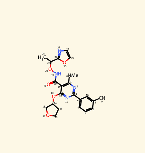 CNc1nc(-c2cccc(C#N)c2)nc(O[C@H]2CCOC2)c1C(=O)NOC(C)c1ncco1